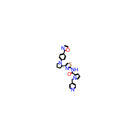 O=C(Nc1nc([C@H]2CCCN2c2ccc(-c3ncco3)cc2)cs1)c1cccn1Cc1ccncc1